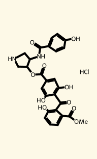 COC(=O)c1cccc(O)c1C(=O)c1c(O)cc(C(=O)OC2CNCC2NC(=O)c2ccc(O)cc2)cc1O.Cl